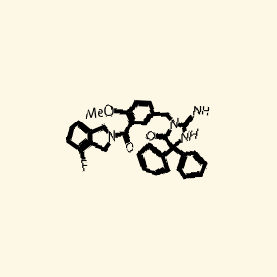 COc1ccc(CN2C(=N)NC(c3ccccc3)(c3ccccc3)C2=O)cc1C(=O)N1Cc2cccc(F)c2C1